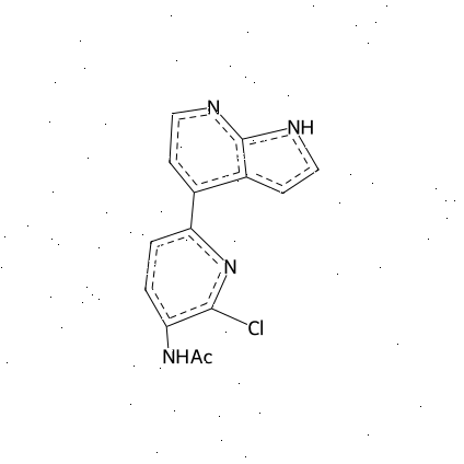 CC(=O)Nc1ccc(-c2ccnc3[nH]ccc23)nc1Cl